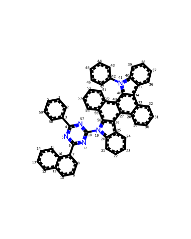 c1ccc(-c2nc(-c3cccc4ccccc34)nc(-n3c4ccccc4c4c5c6ccccc6c6c7ccccc7n(-c7ccccc7)c6c5c5ccccc5c43)n2)cc1